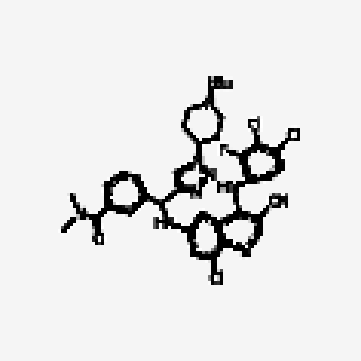 CN(C)C(=O)c1cccc(C(Nc2cc(Cl)c3ncc(C#N)c(Nc4ccc(Cl)c(Cl)c4F)c3c2)c2cn(C3CCN(C(C)(C)C)CC3)nn2)c1